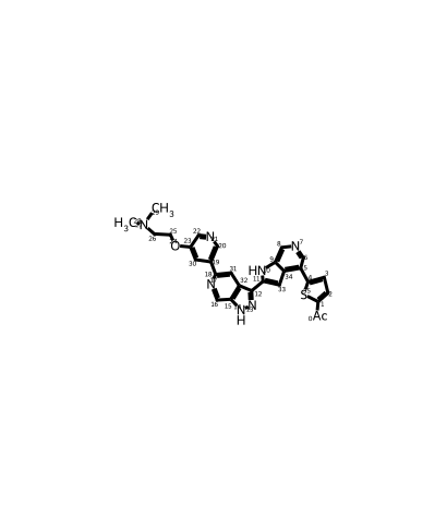 CC(=O)c1ccc(-c2cncc3[nH]c(-c4n[nH]c5cnc(-c6cncc(OCCN(C)C)c6)cc45)cc23)s1